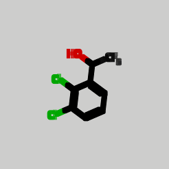 OC(c1cccc(Cl)c1Cl)C(F)(F)F